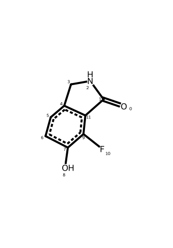 O=C1NCc2ccc(O)c(F)c21